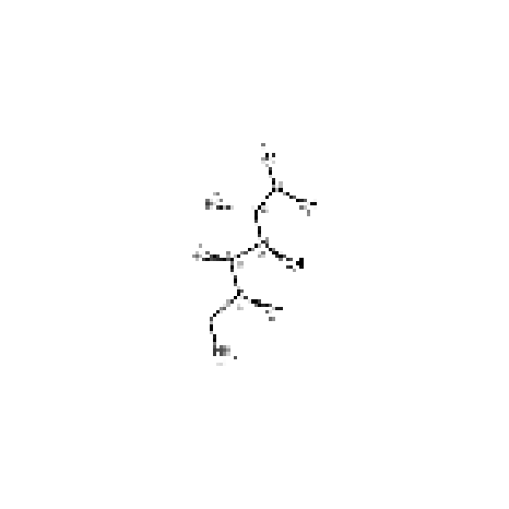 CC(=O)C(O)[C@@H](O)[C@@H](O)[C@H](O)[C@@H](O)CN